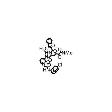 CNC(=O)C(=O)CC[C@H](NC(=O)c1oc2ccccc2c1C)C(=O)Nc1cccn(CC(=O)NC2C3CC4CC2CC(Cl)(C4)C3)c1=O